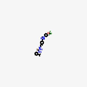 CC(C)c1ccccc1NC(=S)N/N=C/CC1(C)CC=C(c2ncn(-c3ccc(OC(F)(F)F)cc3)n2)CC1